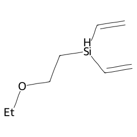 C=C[SiH](C=C)CCOCC